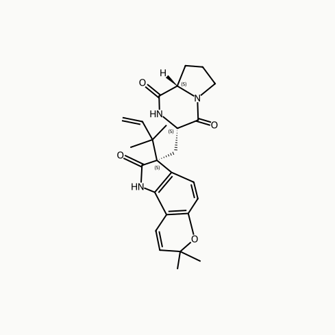 C=CC(C)(C)[C@]1(C[C@@H]2NC(=O)[C@@H]3CCCN3C2=O)C(=O)Nc2c1ccc1c2C=CC(C)(C)O1